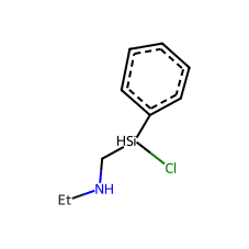 CCNC[SiH](Cl)c1ccccc1